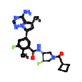 Cc1c(F)cc(-c2cc(C(F)(F)F)c3c(N)ncnn23)cc1C(=O)N[C@@H]1CN(C(=O)C2CCC2)C[C@@H]1F